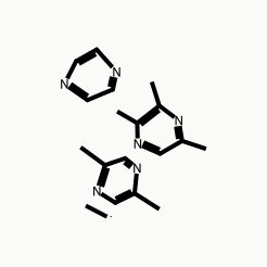 Cc1cnc(C)c(C)n1.Cc1cnc(C)cn1.[CH2]C.c1cnccn1